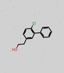 OCCc1ccc(Cl)c(-c2ccccc2)c1